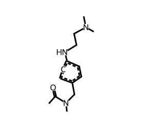 CC(=O)N(C)Cc1ccc(NCCN(C)C)cc1